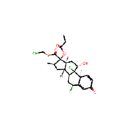 CCC(=O)O[C@]1(C(=O)SCCl)[C@H](C)C[C@H]2C3C[C@H](F)C4=CC(=O)C=C[C@]4(C)[C@@]3(F)[C@@H](O)C[C@@]21C